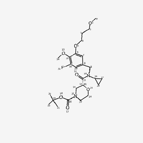 COCCCOc1cc(CN(C(=O)[C@H]2CN(C(=O)OC(C)(C)C)CCO2)C2CC2)cc(F)c1OC